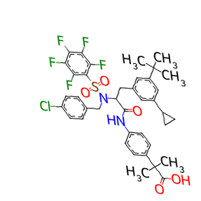 CC(C)(C)c1cc(CC(C(=O)Nc2ccc(C(C)(C)C(=O)O)cc2)N(Cc2ccc(Cl)cc2)S(=O)(=O)c2c(F)c(F)c(F)c(F)c2F)cc(C2CC2)c1